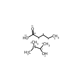 CC(O)N(C)C.CCCCC(=O)O